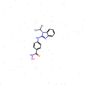 CCC(CC)n1c(Nc2ccc(C(=O)NO)cc2)nc2ccccc21